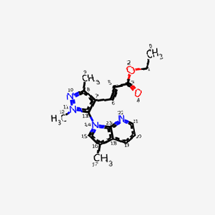 CCOC(=O)/C=C/c1c(C)nn(C)c1-n1cc(C)c2cccnc21